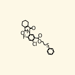 O=C(OCCSc1ccccc1)c1cc(N2C(=O)C3=C(CCCC3)C2=O)c(F)cc1Cl